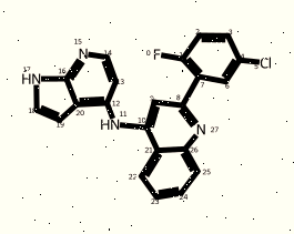 Fc1ccc(Cl)cc1-c1cc(Nc2ccnc3[nH]ccc23)c2ccccc2n1